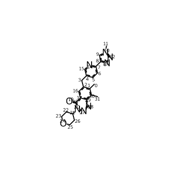 Cc1c(Cc2ccc(-c3cn(C)nn3)nc2)cc2c(=O)n(C3CCOCC3)nnc2c1C